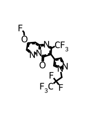 O=c1c(-c2cnn(CC(F)(F)C(F)(F)F)c2)c(C(F)(F)F)nc2cc(OCF)cnn12